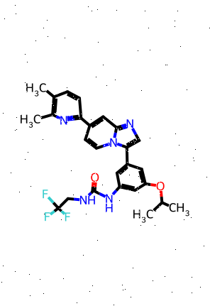 Cc1ccc(-c2ccn3c(-c4cc(NC(=O)NCC(F)(F)F)cc(OC(C)C)c4)cnc3c2)nc1C